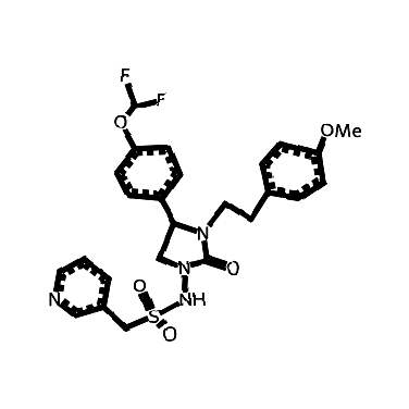 COc1ccc(CCN2C(=O)N(NS(=O)(=O)Cc3cccnc3)CC2c2ccc(OC(F)F)cc2)cc1